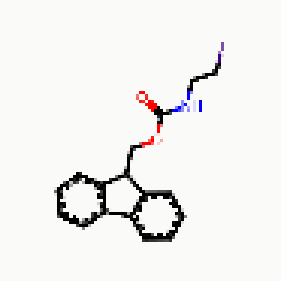 O=C(NCCI)OCC1c2ccccc2-c2ccccc21